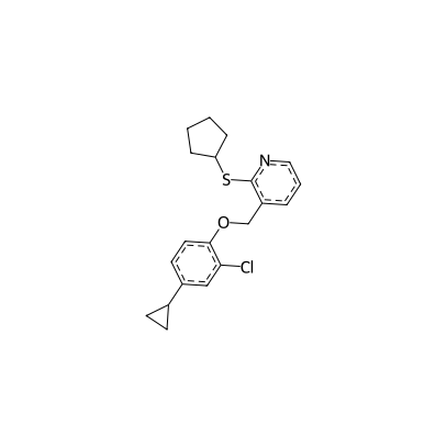 Clc1cc(C2CC2)ccc1OCc1cccnc1SC1CCCC1